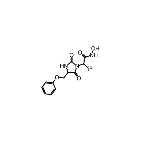 CC(C)C(C(=O)NO)N1C(=O)NC(COc2ccccc2)C1=O